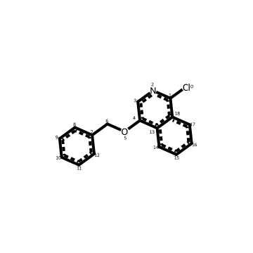 Clc1ncc(OCc2ccccc2)c2ccccc12